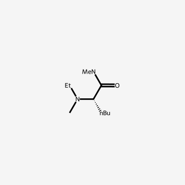 CCCC[C@@H](C(=O)NC)N(C)CC